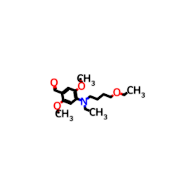 CCOCCCCN(CC)c1cc(OC)c(C=O)cc1OC